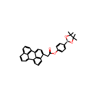 CC1(C)OB(c2ccc(OC(=O)Cc3ccc4c5cccc6cccc(c7cccc3c74)c65)cc2)OC1(C)C